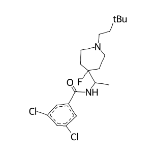 CC(NC(=O)c1cc(Cl)cc(Cl)c1)C1(F)CCN(CCC(C)(C)C)CC1